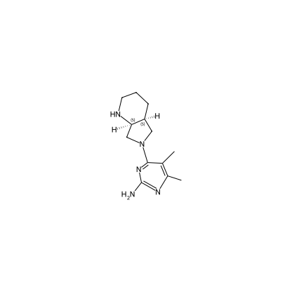 Cc1nc(N)nc(N2C[C@@H]3CCCN[C@@H]3C2)c1C